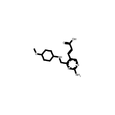 COC1CCC(NCc2nc(N)ncc2C=CC(=O)O)CC1